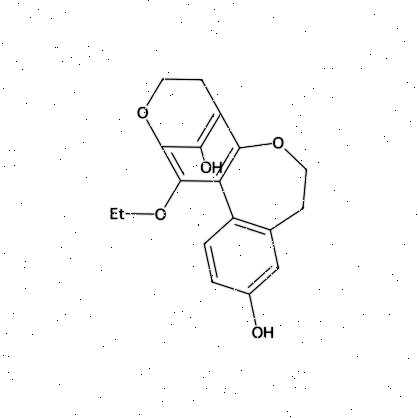 CCOc1c2c(O)c(c3c1-c1ccc(O)cc1CCO3)CCO2